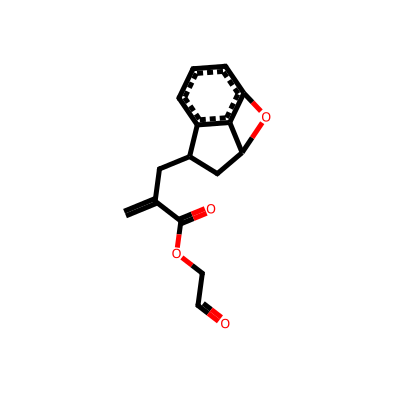 C=C(CC1CC2Oc3cccc1c32)C(=O)OCC=O